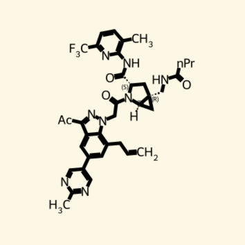 C=CCc1cc(-c2cnc(C)nc2)cc2c(C(C)=O)nn(CC(=O)N3[C@H](C(=O)Nc4nc(C(F)(F)F)ccc4C)C[C@@]4(CNC(=O)CCC)C[C@@H]34)c12